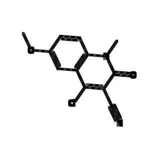 COc1ccc2c(c1)c(Cl)c(C#N)c(=O)n2C